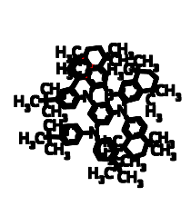 CC(C)(C)c1ccc(N(c2ccc(C(C)(C)C)cc2)c2cc3c4c(c2)N(c2ccc(C(C)(C)C)cc2-c2ccccc2)c2cc5c(cc2B4c2cc4c(cc2N3c2ccc3c(c2)C(C)(C)CCC3(C)C)C(C)(C)CCC4(C)C)C(C)(C)CCC5(C)C)cc1